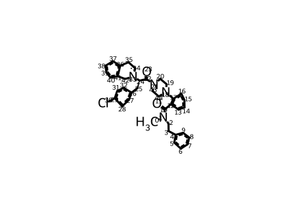 CN(CCc1ccccc1)C(=O)c1ccccc1N1CCN(C(=O)[C@@H](Cc2ccc(Cl)cc2)N2[CH]Cc3ccccc3C2)CC1